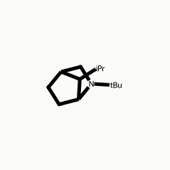 CC(C)C1C2CCC1N(C(C)(C)C)C2